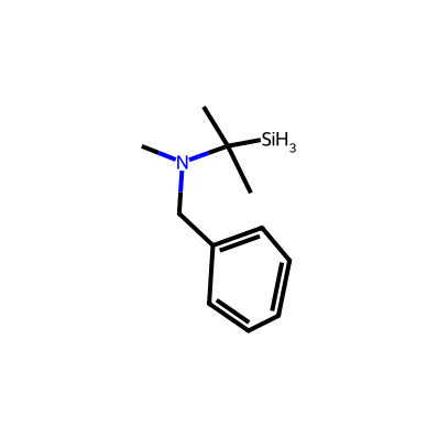 CN(Cc1ccccc1)C(C)(C)[SiH3]